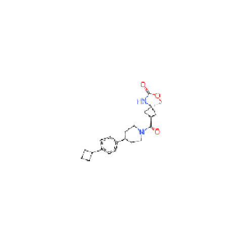 O=C1N[C@]2(CO1)C[C@H](C(=O)N1CCC(c3ccc(C4CCC4)cc3)CC1)C2